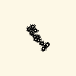 c1ccc(N(c2ccccc2)c2ccc(-c3cc4ccc5cc(-c6ccc7c(c6)C(c6ccccc6)(c6ccccc6)c6ccccc6-7)cc6ccc(c3)c4c56)cc2)cc1